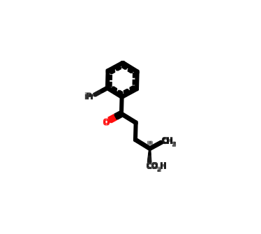 CC(C)c1ccccc1C(=O)CC[C@@H](C)C(=O)O